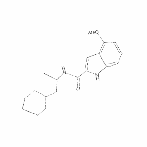 COc1cccc2[nH]c(C(=O)NC(C)CC3CCCCC3)cc12